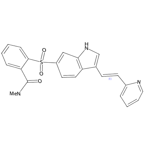 CNC(=O)c1ccccc1S(=O)(=O)c1ccc2c(/C=C/c3ccccn3)c[nH]c2c1